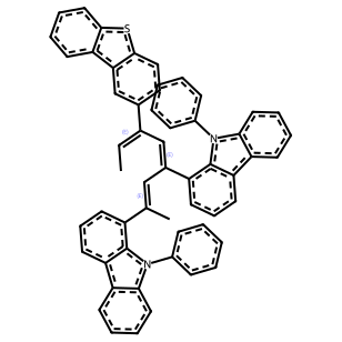 C\C=C(/C=C(\C=C(/C)c1cccc2c3ccccc3n(-c3ccccc3)c12)c1cccc2c3ccccc3n(-c3ccccc3)c12)c1ccc2sc3ccccc3c2c1